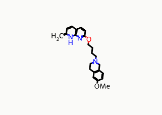 C=C1C=Cc2ccc(OCCCCN3CCc4cc(OC)ccc4C3)nc2N1